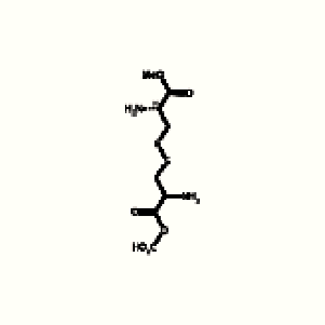 COC(=O)[C@@H](N)CSSCC(N)C(=O)OC(=O)O